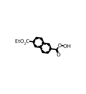 CCOC(=O)c1ccc2cc(C(=O)OO)ccc2c1